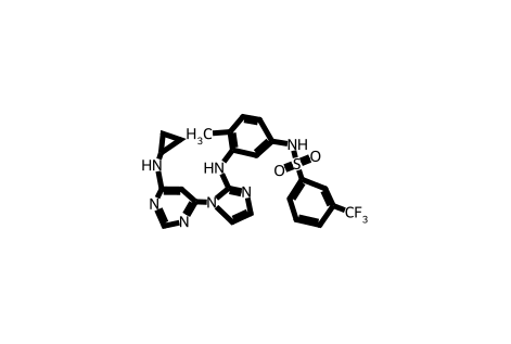 Cc1ccc(NS(=O)(=O)c2cccc(C(F)(F)F)c2)cc1Nc1nccn1-c1cc(NC2CC2)ncn1